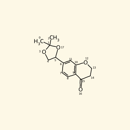 CC1(C)OCC(c2ccc3c(c2)OCCC3=O)O1